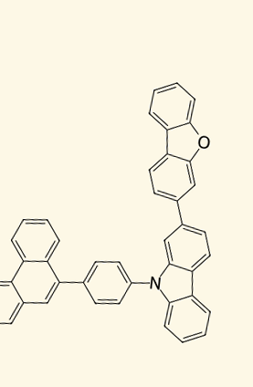 c1ccc2c(c1)cc(-c1ccc(-n3c4ccccc4c4ccc(-c5ccc6c(c5)oc5ccccc56)cc43)cc1)c1ccccc12